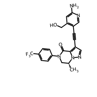 C[C@H]1CN(c2ccc(C(F)(F)F)cc2)C(=O)c2c(C#Cc3cnc(N)cc3CO)cnn21